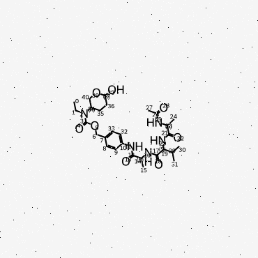 CCN(C(=O)OCc1ccc(NC(=O)[C@H](C)NC(=O)[C@@H](NC(=O)[C@H](C)NC(C)=O)C(C)C)cc1)[C@@H]1CC[C@H](O)OC1